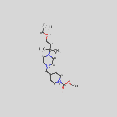 CC(C)(C)OC(=O)N1CCC(CN2CCN(C(C)(C)CCOCC(=O)O)CC2)CC1